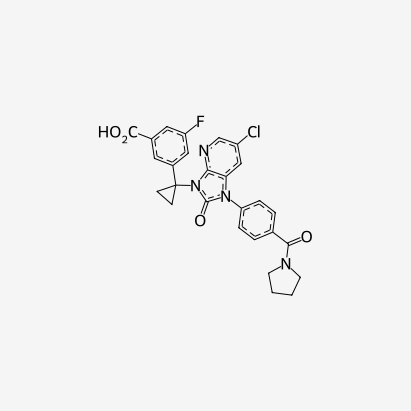 O=C(O)c1cc(F)cc(C2(n3c(=O)n(-c4ccc(C(=O)N5CCCC5)cc4)c4cc(Cl)cnc43)CC2)c1